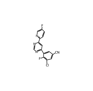 N#Cc1cc(Cl)c(F)c(-c2cc(-c3ccc(F)cn3)ncn2)c1